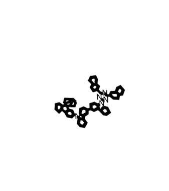 c1ccc2c(c1)-c1ccc(-n3c4ccccc4c4cc(-c5ccc6c(c5)c5ccccc5n6-c5nc(-c6ccc7ccccc7c6)nc(-c6ccc7ccccc7c6)n5)ccc43)cc1C21C2CC3CC(C2)CC1C3